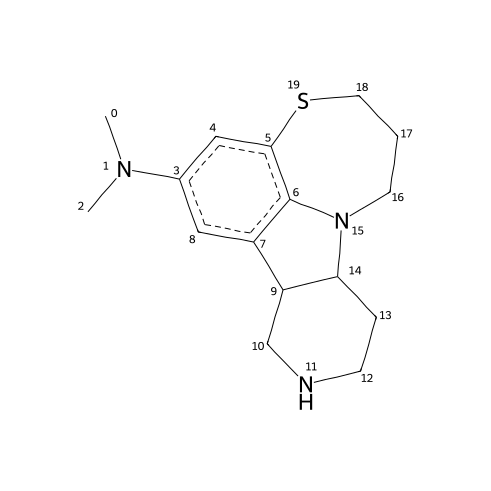 CN(C)c1cc2c3c(c1)C1CNCCC1N3CCCS2